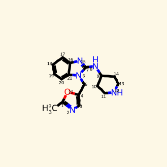 Cc1ncc(Cn2c(NC3CCNCC3)nc3ccccc32)o1